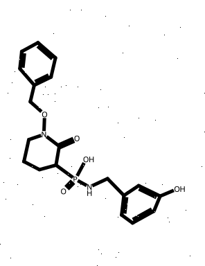 O=C1C(P(=O)(O)NCc2cccc(O)c2)CCCN1OCc1ccccc1